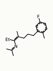 CC/C(N=C(C)C)=C(\C)CCCc1cc(F)ccc1C